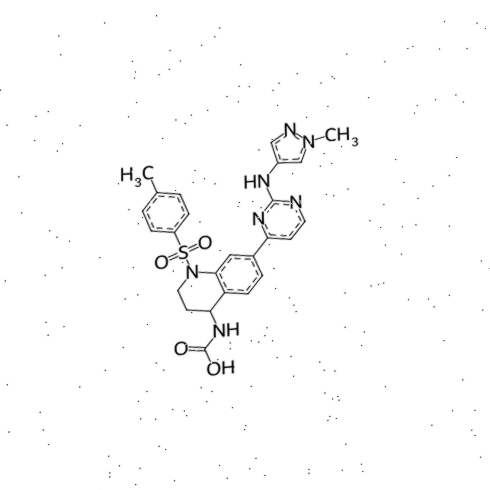 Cc1ccc(S(=O)(=O)N2CCC(NC(=O)O)c3ccc(-c4ccnc(Nc5cnn(C)c5)n4)cc32)cc1